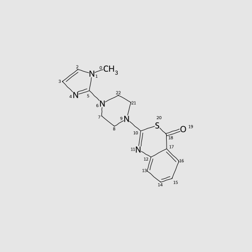 Cn1ccnc1N1CCN(c2nc3ccccc3c(=O)s2)CC1